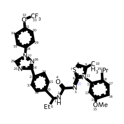 CCC(NC(=O)/N=c1\scc(C)n1-c1cc(OC)ccc1C(C)C)c1ccc(-c2ncn(-c3ccc(OC(F)(F)F)cc3)n2)cc1